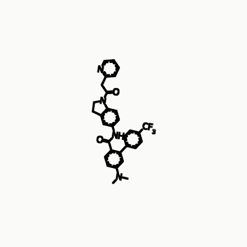 CN(C)c1ccc(C(=O)Nc2ccc3c(c2)CCN3C(=O)Cc2ccccn2)c(-c2ccc(C(F)(F)F)cc2)c1